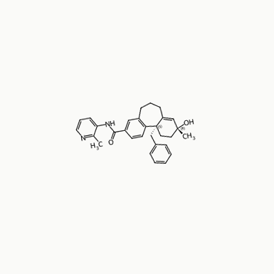 Cc1ncccc1NC(=O)c1ccc2c(c1)CCCC1=C[C@](C)(O)CC[C@]12Cc1ccccc1